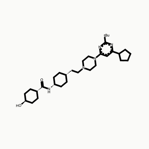 CC(C)(C)c1nc(C2CCCC2)cc(N2CCN(CC[C@H]3CC[C@@H](NC(=O)[C@H]4CC[C@H](O)CC4)CC3)CC2)n1